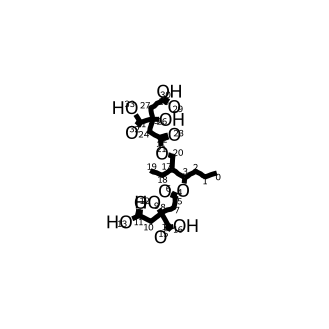 CCCC(OC(=O)CC(O)(CC(=O)O)C(=O)O)C(CC)COC(=O)CC(O)(CC(=O)O)C(=O)O